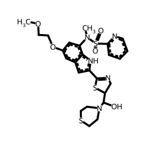 COCCOc1cc(N(C)S(=O)(=O)c2ccccn2)c2[nH]c(C3=NCC(C(O)N4CCSCC4)S3)cc2c1